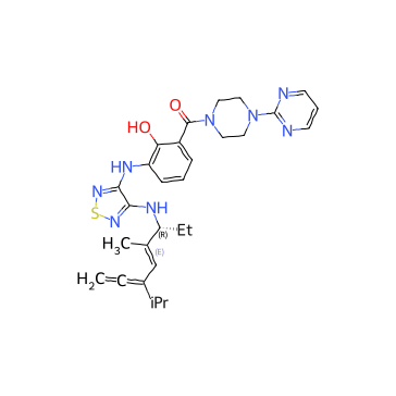 C=C=C(/C=C(\C)[C@@H](CC)Nc1nsnc1Nc1cccc(C(=O)N2CCN(c3ncccn3)CC2)c1O)C(C)C